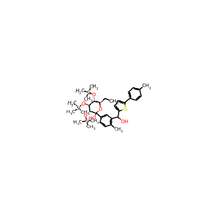 CC[C@H]1OC(O)(c2ccc(C)c(C(O)c3ccc(-c4ccc(C)cc4)s3)c2)[C@H](O[Si](C)(C)C)[C@@H](O[Si](C)(C)C)[C@@H]1O[Si](C)(C)C